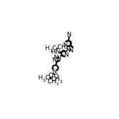 CC(C)Nc1cc(-n2ncc3cc(C#N)cnc32)ncc1-n1cc(C2CCN(C(=O)OC(C)(C)C)CC2)nn1